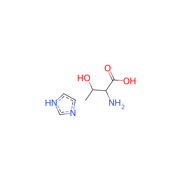 CC(O)C(N)C(=O)O.c1c[nH]cn1